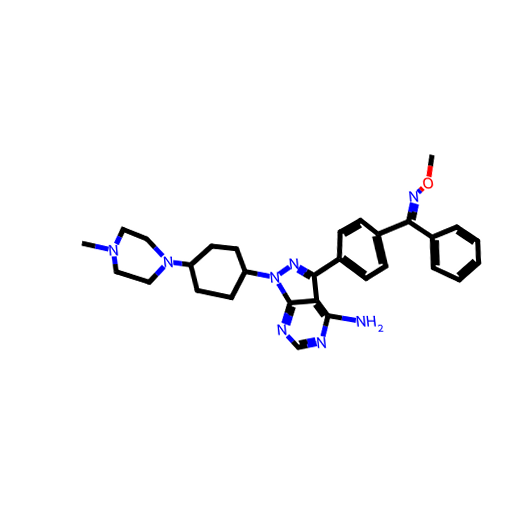 CO/N=C(\c1ccccc1)c1ccc(-c2nn(C3CCC(N4CCN(C)CC4)CC3)c3ncnc(N)c23)cc1